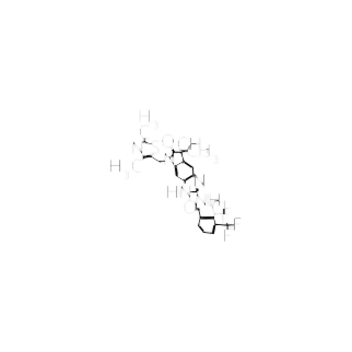 Cc1nc(C)c(CN2C(=O)C(C)(C)c3cc4nc(NC(=O)c5cccc(C(F)(F)F)c5Cl)[nH]c4cc32)s1